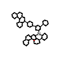 c1ccc(-c2cc(-c3ccc(-c4cc5ccc6ccccc6c5c5ccccc45)cc3)cc(N(c3ccc4c(ccc5ccccc54)c3)c3ccccc3-c3ccccc3)c2)cc1